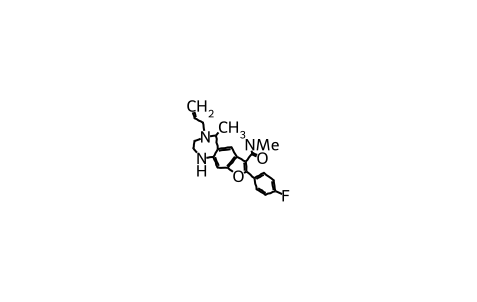 C=CCN1CCNc2cc3oc(-c4ccc(F)cc4)c(C(=O)NC)c3cc2C1C